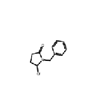 O=C1CCC(Cl)N1Cc1ccccc1